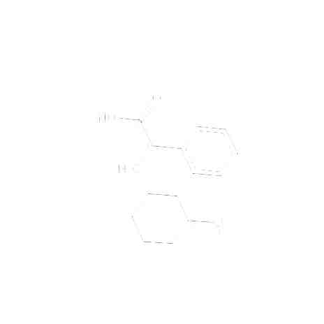 CC(C(=O)O)c1ccccc1C1CCCCC1Cl